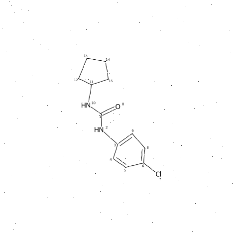 O=C(Nc1ccc(Cl)cc1)NC1CCCC1